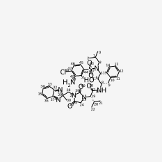 CC(C)CN(C[C@@H](O)[C@H](Cc1ccccc1)NC(=O)[C@H](C(C)C)N1CC(=O)N(CC2(C)N=c3ccccc3=N2)C1=O)S(=O)(=O)c1ccc(Cl)c(N)c1